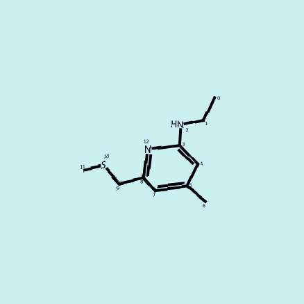 CCNc1cc(C)cc(CSC)n1